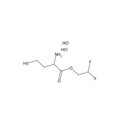 Cl.Cl.NC(CCS)C(=O)OCC(F)F